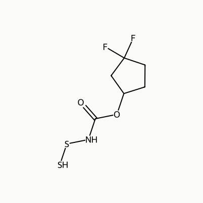 O=C(NSS)OC1CCC(F)(F)C1